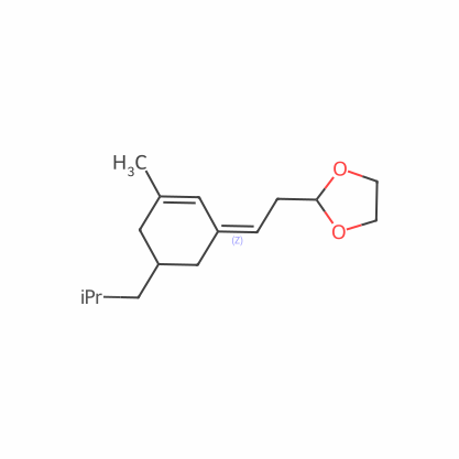 CC1=C/C(=C\CC2OCCO2)CC(CC(C)C)C1